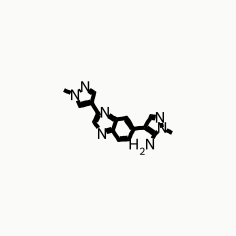 Cn1cc(-c2cnc3ccc(-c4cnn(C)c4N)cc3n2)cn1